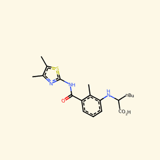 CCCCC(Nc1cccc(C(=O)Nc2nc(C)c(C)s2)c1C)C(=O)O